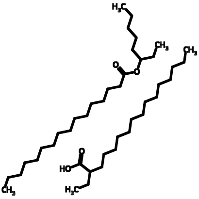 CCCCCCCCCCCCCCC(CC)C(=O)O.CCCCCCCCCCCCCCCC(=O)OC(CC)CCCCC